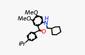 COc1cc(NCC2CCCCC2)c(C(=O)c2ccc(C(C)C)cc2)cc1OC